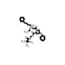 CCOP(=O)(CCCCc1ccccc1)CC(=O)N1C[C@@H](Sc2ccccc2)C[C@H]1C(=O)OCOC(=O)C(C)(C)C